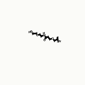 CC(C)C(C)COCCC(=O)NCCOCCO